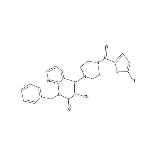 N#Cc1c(N2CCN(C(=O)c3ccc(Cl)s3)CC2)c2cccnc2n(Cc2ccccc2)c1=O